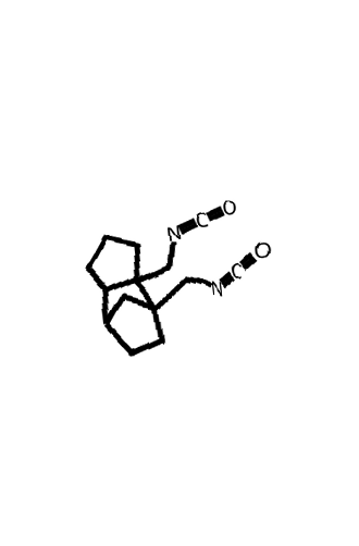 O=C=NCC12CCC(C1)C1CCCC12CN=C=O